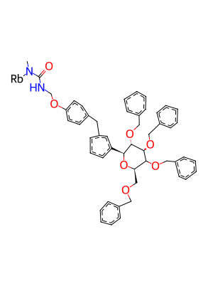 C[N]([Rb])C(=O)NCOc1ccc(Cc2cccc([C@@H]3O[C@H](COCc4ccccc4)C(OCc4ccccc4)[C@H](OCc4ccccc4)[C@H]3OCc3ccccc3)c2)cc1